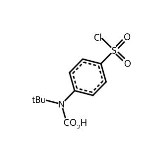 CC(C)(C)N(C(=O)O)c1ccc(S(=O)(=O)Cl)cc1